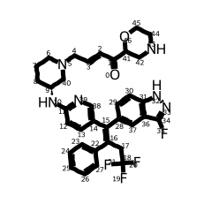 O=C(/C=C/CN1CCC[C@@H](Nc2ccc(/C(=C(/CC(F)(F)F)c3ccccc3)c3ccc4[nH]nc(F)c4c3)cn2)C1)C1CNCCO1